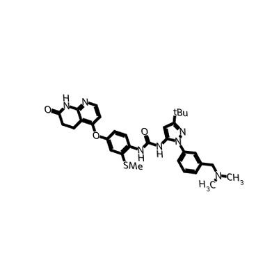 CSc1cc(Oc2ccnc3c2CCC(=O)N3)ccc1NC(=O)Nc1cc(C(C)(C)C)nn1-c1cccc(CN(C)C)c1